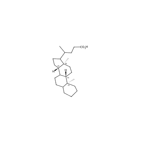 CC(CCC(=O)O)C1CC[C@H]2C3CCC4CCCC[C@]4(C)[C@H]3CC[C@]12C